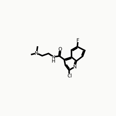 CN(C)CCNC(=O)c1cc(Cl)nc2ccc(F)cc12